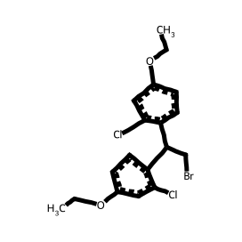 CCOc1ccc(C(CBr)c2ccc(OCC)cc2Cl)c(Cl)c1